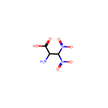 NC(C(=O)O)C([N+](=O)[O-])[N+](=O)[O-]